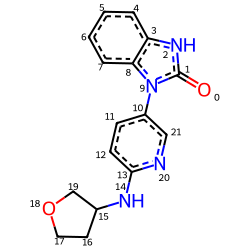 O=c1[nH]c2ccccc2n1-c1ccc(NC2CCOC2)nc1